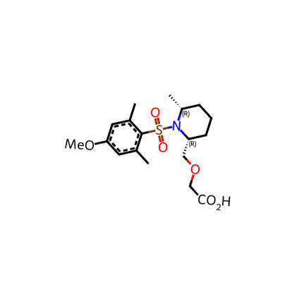 COc1cc(C)c(S(=O)(=O)N2[C@@H](COCC(=O)O)CCC[C@H]2C)c(C)c1